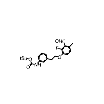 Cc1ccc(OCCc2cccc(NC(=O)OC(C)(C)C)c2)c(F)c1C=O